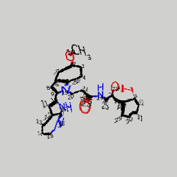 COc1ccc2c(c1)cc(-c1cc3cccnc3[nH]1)n2CCC(=O)NCC(O)c1ccccc1